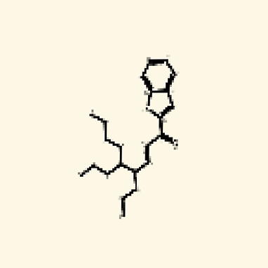 CCCCC(CCC)C(/C=C/C(=O)c1cc2ccccc2s1)CCC